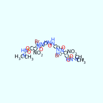 CN(C)CCNS(=O)(=O)c1ccc2c3c(cc([N+](=O)[O-])c2c1)N(C(=O)c1cc2cc(NC(=O)Nc4ccc5[nH]c(C(=O)N6CC(CBr)c7c6cc([N+](=O)[O-])c6cc(S(=O)(=O)NCCN(C)C)ccc76)cc5c4)ccc2[nH]1)CC3CBr